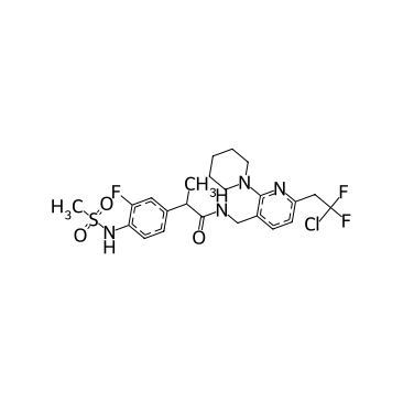 CC(C(=O)NCc1ccc(CC(F)(F)Cl)nc1N1CCCCC1)c1ccc(NS(C)(=O)=O)c(F)c1